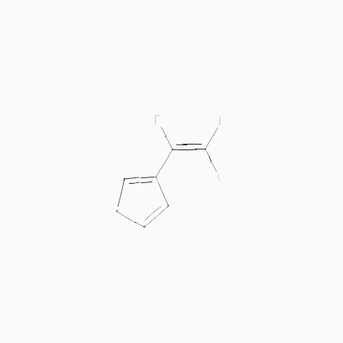 FC(F)=C(F)C1=CCC=C1